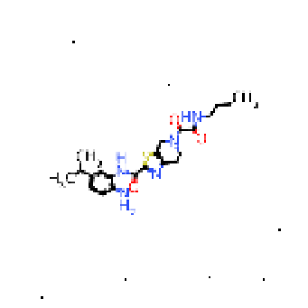 CCCCNC(=O)C(=O)N1CCc2nc(C(=O)Nc3cc(C(C)C)ccc3N)sc2C1